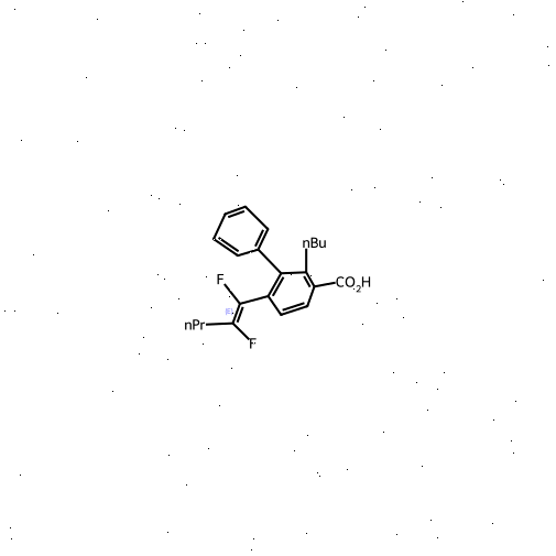 CCCCc1c(C(=O)O)ccc(/C(F)=C(\F)CCC)c1-c1ccccc1